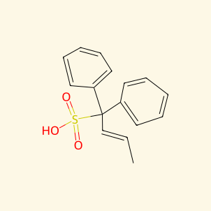 CC=CC(c1ccccc1)(c1ccccc1)S(=O)(=O)O